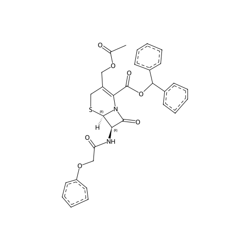 CC(=O)OCC1=C(C(=O)OC(c2ccccc2)c2ccccc2)N2C(=O)[C@@H](NC(=O)COc3ccccc3)[C@H]2SC1